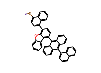 ISc1ccc(-c2ccc(-c3c4ccccc4c(-c4cccc5ccccc45)c4ccccc34)c3c2oc2ccccc23)c2ccccc12